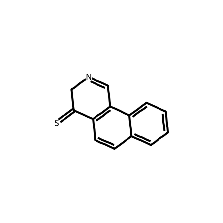 S=C1CN=Cc2c1ccc1ccccc21